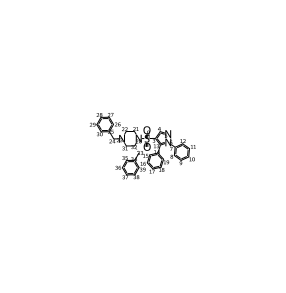 O=S(=O)(c1cnn(-c2ccccc2)c1-c1ccccc1)N1CCN(Cc2ccccc2)C[C@H]1Cc1ccccc1